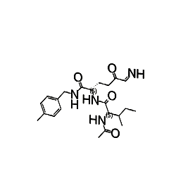 CCC(C)[C@H](NC(C)=O)C(=O)N[C@@H](CCC(=O)C=N)C(=O)NCc1ccc(C)cc1